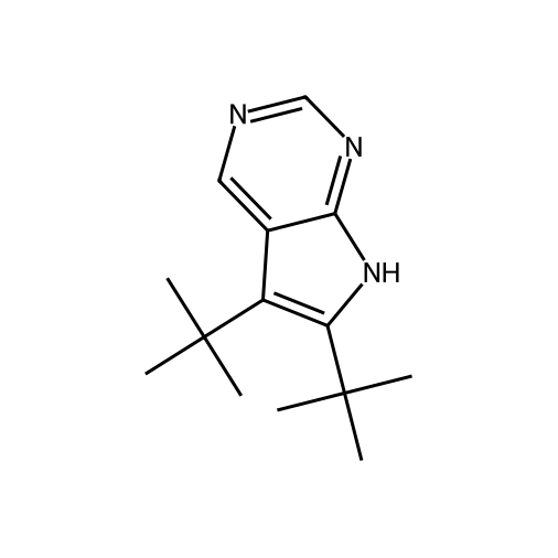 CC(C)(C)c1[nH]c2ncncc2c1C(C)(C)C